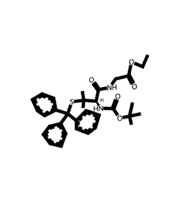 CCOC(=O)CNC(=O)[C@@H](NC(=O)OC(C)(C)C)C(C)(C)SC(c1ccccc1)(c1ccccc1)c1ccccc1